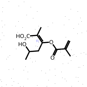 C=C(C)C(=O)O/C(CC(C)O)=C(\C)C(=O)O